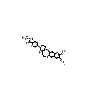 CCc1cc2cc3c(cc2nc1OC)CN1CCN(c2ccc(C(=O)NC)nc2)C[C@@H]1CCO3